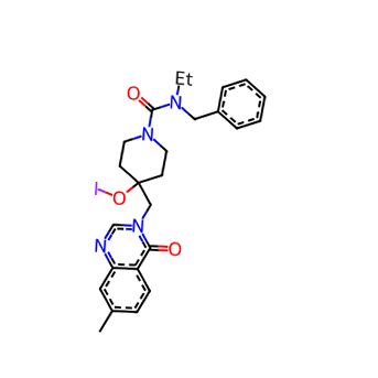 CCN(Cc1ccccc1)C(=O)N1CCC(Cn2cnc3cc(C)ccc3c2=O)(OI)CC1